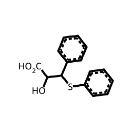 O=C(O)C(O)C(Sc1ccccc1)c1ccccc1